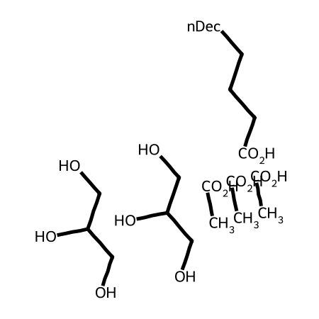 CC(=O)O.CC(=O)O.CC(=O)O.CCCCCCCCCCCCCC(=O)O.OCC(O)CO.OCC(O)CO